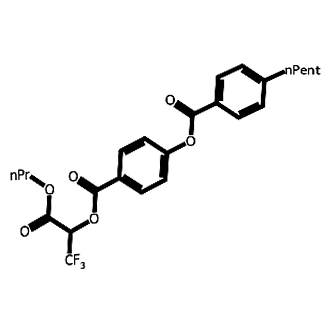 CCCCCc1ccc(C(=O)Oc2ccc(C(=O)OC(C(=O)OCCC)C(F)(F)F)cc2)cc1